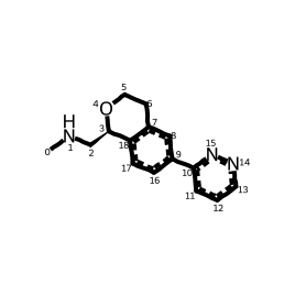 CNC[C@H]1OCCc2cc(-c3cccnn3)ccc21